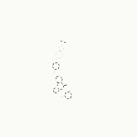 CS(=O)(=O)N1CC2(CCN(c3ccc(Nc4ncc5c(=O)n(-c6c(Cl)cccc6Cl)c6nccn6c5n4)cc3)CC2)C1